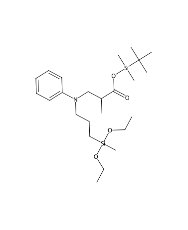 CCO[Si](C)(CCCN(CC(C)C(=O)O[Si](C)(C)C(C)(C)C)c1ccccc1)OCC